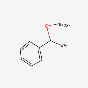 CCCCC[CH]OC(CCC)c1ccccc1